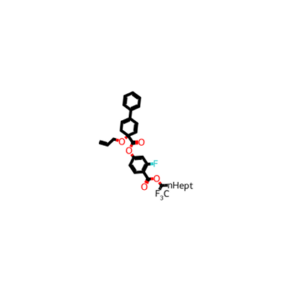 C=CCOC1(C(=O)Oc2ccc(C(=O)OC(CCCCCCC)C(F)(F)F)c(F)c2)C=CC(c2ccccc2)=CC1